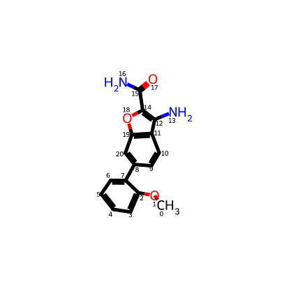 COc1ccccc1-c1ccc2c(N)c(C(N)=O)oc2c1